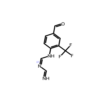 N=C/N=C\Nc1ccc(C=O)cc1C(F)(F)F